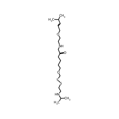 CC(C)/C=C/COCCNCC(=O)CCCCOCSSCCNC(C)C